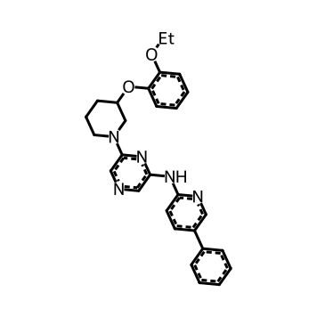 CCOc1ccccc1OC1CCCN(c2cncc(Nc3ccc(-c4ccccc4)cn3)n2)C1